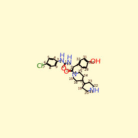 O=C(Nc1ccc(Cl)cc1)N[C@@H](C(=O)N1CCC(C2CCNCC2)CC1)c1ccc(O)cc1